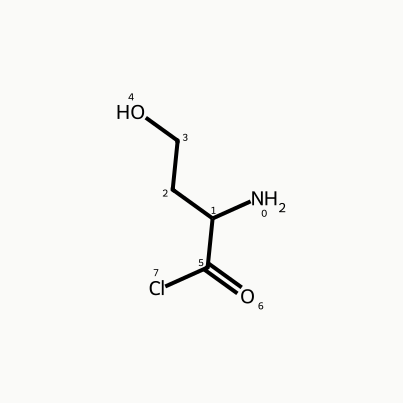 NC(CCO)C(=O)Cl